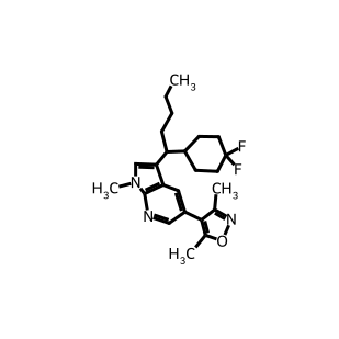 CCCCC(c1cn(C)c2ncc(-c3c(C)noc3C)cc12)C1CCC(F)(F)CC1